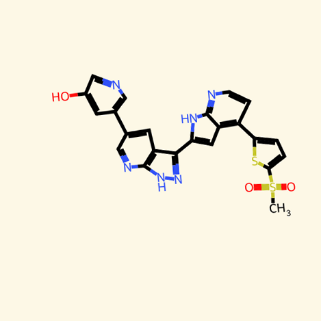 CS(=O)(=O)c1ccc(-c2ccnc3[nH]c(-c4n[nH]c5ncc(-c6cncc(O)c6)cc45)cc23)s1